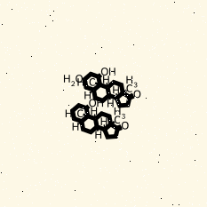 C[C@]12C(O)CCC[C@@H]1CC[C@@H]1[C@@H]2CC[C@]2(C)C(=O)CC[C@@H]12.C[C@]12C(O)CCC[C@@H]1CC[C@@H]1[C@@H]2CC[C@]2(C)C(=O)CC[C@@H]12.O